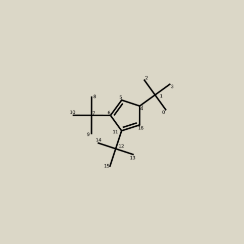 CC(C)(C)[C]1C=C(C(C)(C)C)C(C(C)(C)C)=C1